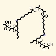 CCCCCCC(C/C=C\CCCCCCCC(=O)OCC(C)OCC(C)OC(=O)CCCCCCC/C=C\CC(CCCCC)OC(=O)C(C)OC(=O)C(C)O)OC(=O)C(C)OC(=O)C(C)O